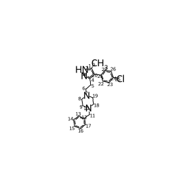 Cc1[nH]nc(CCN2CCN(Cc3ccccc3)CC2)c1-c1ccc(Cl)cc1